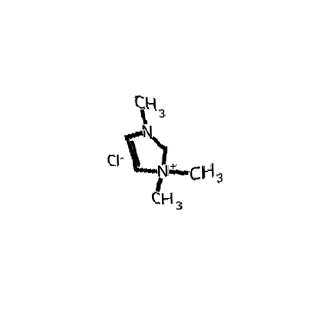 CN1C=C[N+](C)(C)C1.[Cl-]